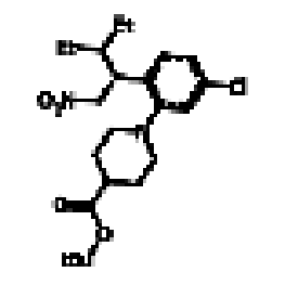 CCC(CC)[C@H](C[N+](=O)[O-])c1ccc(Cl)cc1N1CCC(C(=O)OC(C)(C)C)CC1